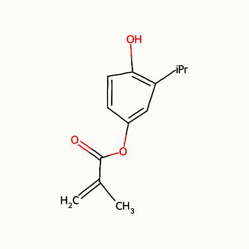 C=C(C)C(=O)Oc1ccc(O)c(C(C)C)c1